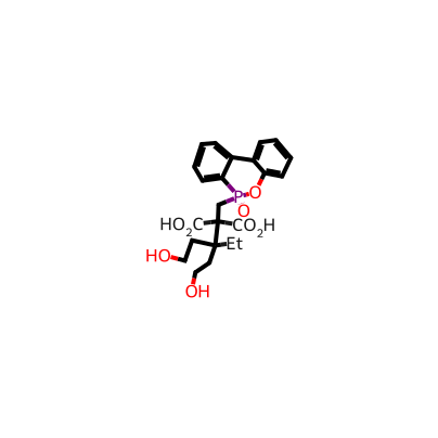 CCC(CCO)(CCO)C(CP1(=O)Oc2ccccc2-c2ccccc21)(C(=O)O)C(=O)O